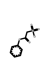 O=C(CS(=O)(=O)Cl)Oc1ccccc1